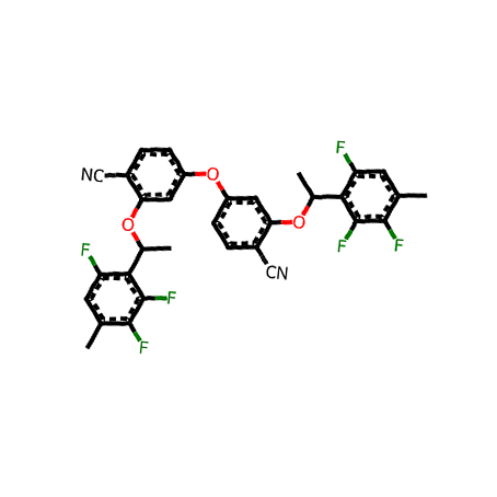 Cc1cc(F)c(C(C)Oc2cc(Oc3ccc(C#N)c(OC(C)c4c(F)cc(C)c(F)c4F)c3)ccc2C#N)c(F)c1F